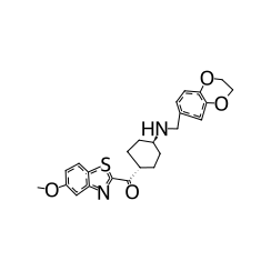 COc1ccc2sc(C(=O)[C@H]3CC[C@H](NCc4ccc5c(c4)OCCO5)CC3)nc2c1